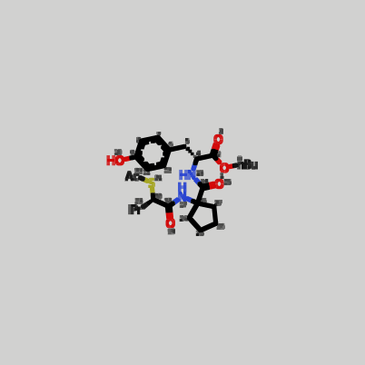 CCCCOC(=O)[C@@H](Cc1ccc(O)cc1)NC(=O)C1(NC(=O)[C@H](SC(C)=O)C(C)C)CCCC1